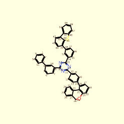 c1ccc(-c2cccc(-c3nc(-c4ccc(-c5cccc6c5-c5ccccc5CO6)cc4)nc(-c4cccc(-c5cccc6c5sc5ccccc56)c4)n3)c2)cc1